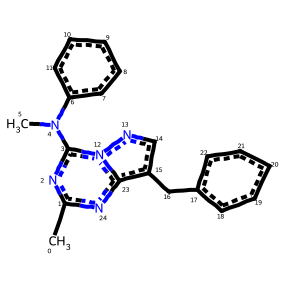 Cc1nc(N(C)c2ccccc2)n2ncc(Cc3ccccc3)c2n1